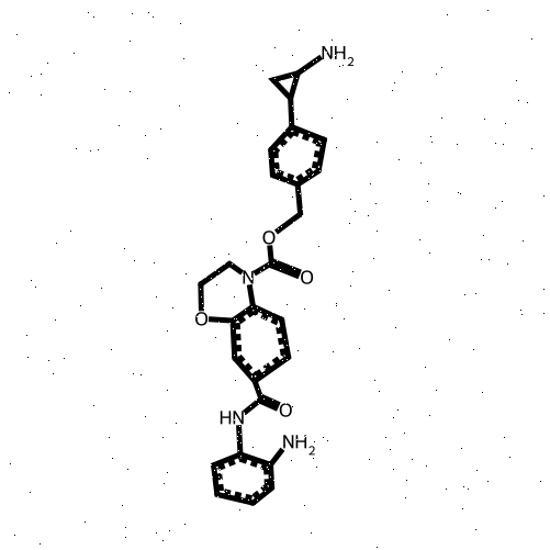 Nc1ccccc1NC(=O)c1ccc2c(c1)OCCN2C(=O)OCc1ccc(C2CC2N)cc1